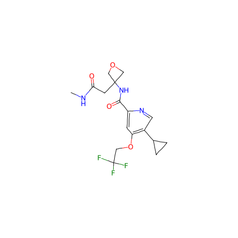 CNC(=O)CC1(NC(=O)c2cc(OCC(F)(F)F)c(C3CC3)cn2)COC1